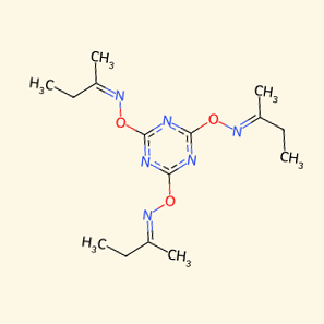 CC/C(C)=N\Oc1nc(O/N=C(\C)CC)nc(O/N=C(\C)CC)n1